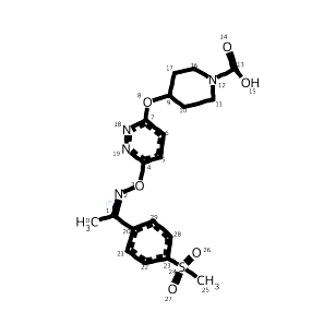 C/C(=N/Oc1ccc(OC2CCN(C(=O)O)CC2)nn1)c1ccc(S(C)(=O)=O)cc1